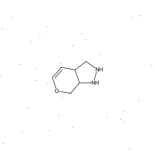 C1=CC2CNNC2CO1